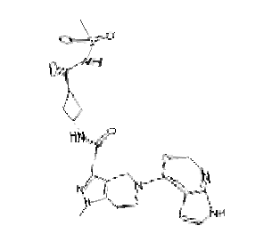 Cn1nc(C(=O)N[C@H]2C[C@H](C(=O)NS(C)(=O)=O)C2)c2c1CCN(c1ncnc3[nH]ccc13)C2